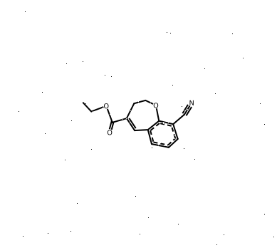 CCOC(=O)C1=Cc2cccc(C#N)c2OCC1